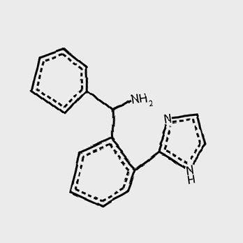 NC(c1ccccc1)c1ccccc1-c1ncc[nH]1